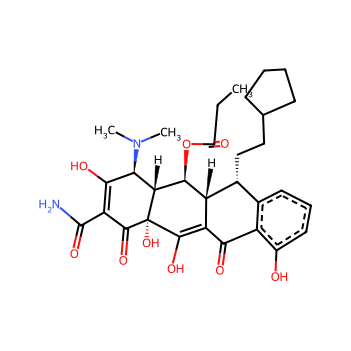 CCC(=O)O[C@H]1[C@H]2C(=C(O)[C@@]3(O)C(=O)C(C(N)=O)=C(O)[C@@H](N(C)C)[C@H]13)C(=O)c1c(O)cccc1[C@H]2CCC1CCCC1